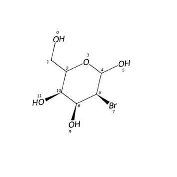 OCC1OC(O)[C@@H](Br)[C@@H](O)[C@H]1O